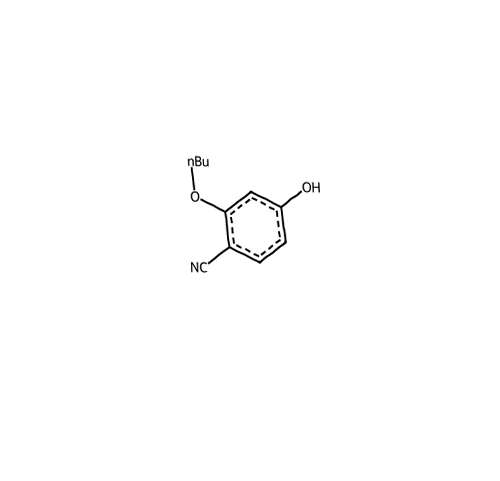 CCCCOc1cc(O)ccc1C#N